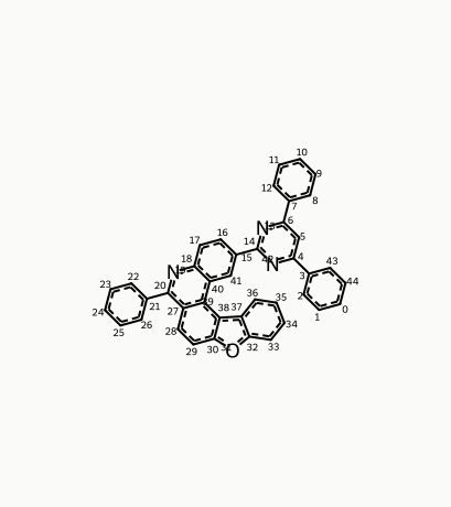 c1ccc(-c2cc(-c3ccccc3)nc(-c3ccc4nc(-c5ccccc5)c5ccc6oc7ccccc7c6c5c4c3)n2)cc1